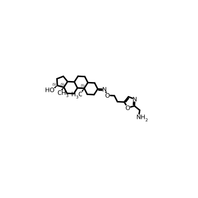 C[C@]12CCC(=NOCCc3cnc(CN)o3)CC1CCC1C2CC[C@@]2(C)C1CC[C@@H]2O